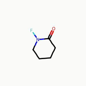 O=C1CCCCN1F